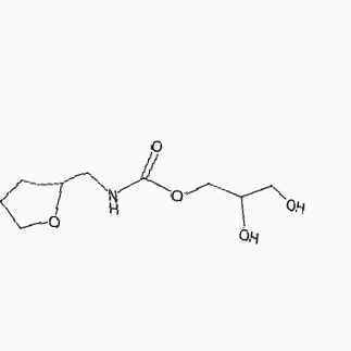 O=C(NCC1CCCO1)OCC(O)CO